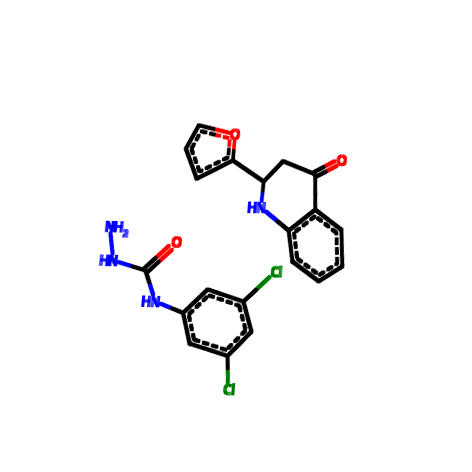 NNC(=O)Nc1cc(Cl)cc(Cl)c1.O=C1CC(c2ccco2)Nc2ccccc21